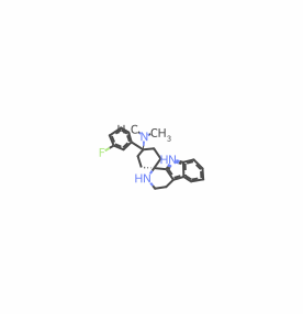 CN(C)[C@]1(c2cccc(F)c2)CC[C@@]2(CC1)NCCc1c3ccccc3[nH]c12